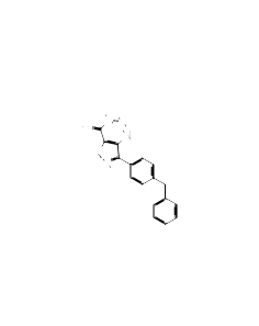 O=c1[nH]nnc2c(-c3ccc(Cc4ccccc4)cc3)nsc12